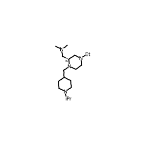 CCN1CCN(CC2CCN(C(C)C)CC2)[C@@H](CN(C)C)C1